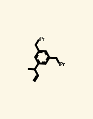 C=C[C](C)c1cc(CC(C)C)cc(CC(C)C)c1